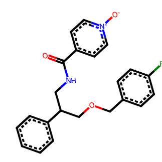 O=C(NCC(COCc1ccc(F)cc1)c1ccccc1)c1cc[n+]([O-])cc1